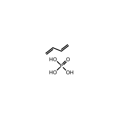 C=CC=C.O=P(O)(O)O